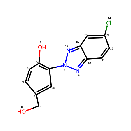 OCc1ccc(O)c(-n2nc3ccc(Cl)cc3n2)c1